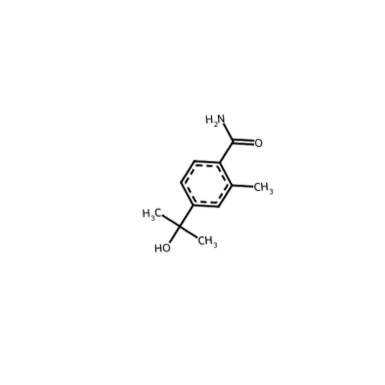 Cc1cc(C(C)(C)O)ccc1C(N)=O